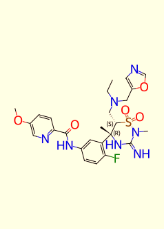 CCN(Cc1cnco1)C[C@H]1[C@@](C)(c2cc(NC(=O)c3ccc(OC)cn3)ccc2F)NC(=N)N(C)S1(=O)=O